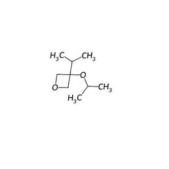 CC(C)OC1(C(C)C)COC1